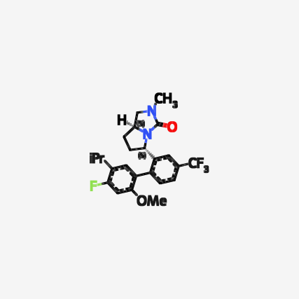 COc1cc(F)c(C(C)C)cc1-c1ccc(C(F)(F)F)cc1[C@@H]1CC[C@H]2CN(C)C(=O)N21